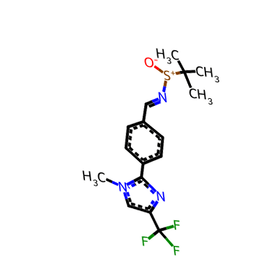 Cn1cc(C(F)(F)F)nc1-c1ccc(C=N[S+]([O-])C(C)(C)C)cc1